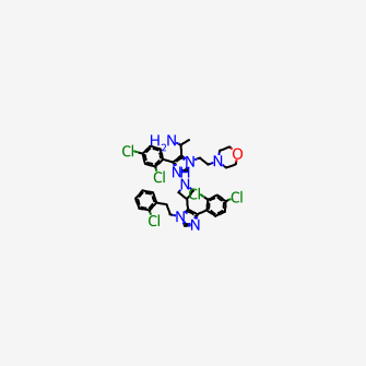 CC(N)c1c(-c2ccc(Cl)cc2Cl)ncn1CCN1CCOCC1.Clc1ccc(-c2ncn(CCc3ccccc3Cl)c2C2CNC2)c(Cl)c1